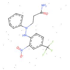 NC(=O)CCN(Nc1ccc(C(F)(F)F)cc1[N+](=O)[O-])c1ccccc1